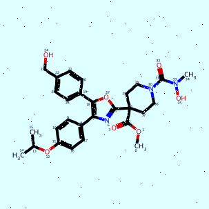 COC(=O)C1(c2nc(-c3ccc(OC(C)C)cc3)c(-c3ccc(CO)cc3)o2)CCN(C(=O)N(C)O)CC1